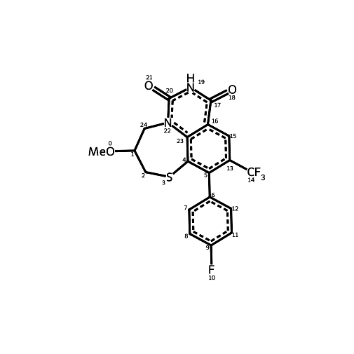 COC1CSc2c(-c3ccc(F)cc3)c(C(F)(F)F)cc3c(=O)[nH]c(=O)n(c23)C1